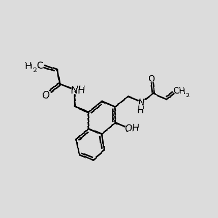 C=CC(=O)NCc1cc(CNC(=O)C=C)c2ccccc2c1O